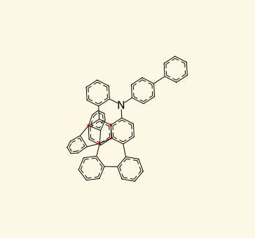 c1ccc(-c2ccc(N(c3ccc4c(c3)C3(c5ccccc5-c5ccccc5-4)c4ccccc4-c4ccccc43)c3ccccc3-c3ccccc3)cc2)cc1